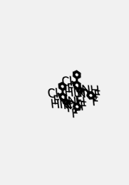 Fc1cc(F)c(F)c(Nc2n[nH]c3c(F)c(Cl)c(-c4ccccc4)cc23)c1F.Fc1ccc(Nc2n[nH]c3c(F)c(Cl)c(-c4ccccc4)cc23)cc1F